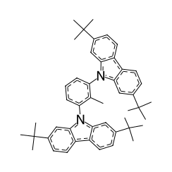 Cc1c(-n2c3cc(C(C)(C)C)ccc3c3ccc(C(C)(C)C)cc32)cccc1-n1c2cc(C(C)(C)C)ccc2c2ccc(C(C)(C)C)cc21